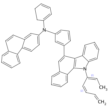 C=C/C=C\C(=C/C)n1c2ccccc2c2c(-c3cccc(N(C4=CC=CCC4)c4ccc5c(ccc6ccccc65)c4)c3)cc3ccccc3c21